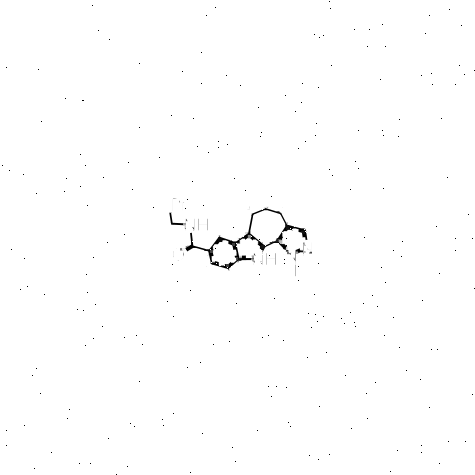 CC(C)CNC(=O)c1ccc2[nH]c3c(c2c1)CCCc1cn[nH]c1-3